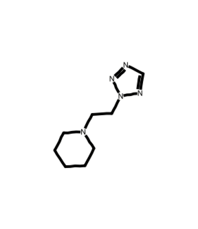 c1nnn(CCN2CCCCC2)n1